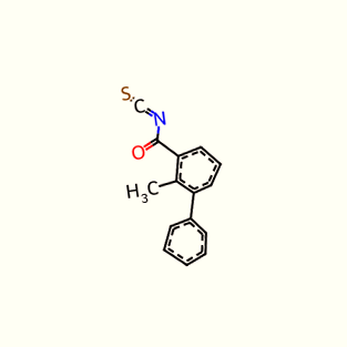 Cc1c(C(=O)N=C=S)cccc1-c1ccccc1